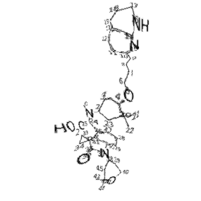 CN([C@@H]1C[C@@H](OCCCCc2ccc3c(n2)NCCC3)C(C)(C)C1)[C@@H](C(=O)O)c1cccc2c1C1(CC1)C(=O)N2[C@@H]1CCOC(C)(C)C1